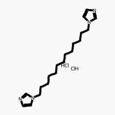 Cl.Cl.c1cn(CCCCCCCCCCCCCn2ccnc2)cn1